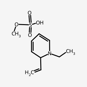 C=CC1C=CC=CN1CC.COS(=O)(=O)O